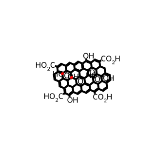 O=C(O)C1=CC2=Cc3cc4c5c6c3C37OC23C2=C1C=CC1=CC3=C(C(=O)O)C(O)=C8C=C9C=C%10C(C(=O)O)=C%11C=CC%12=CC=C%13CC%14C(C(=O)O)=CC(=C4O)C4C%14C%14(O)C%15%16OC%15(C%10=C%10C(=C6C6C7C(O)(C3C8C63OC9%103)C12O)C%161OC541)C%11C%12[C@@]%13%14O